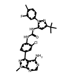 Cc1ccc(-n2nc(C(C)(C)C)cc2NC(=O)Nc2ccc(-c3nn(C)c4ncnc(N)c34)cc2Cl)cc1F